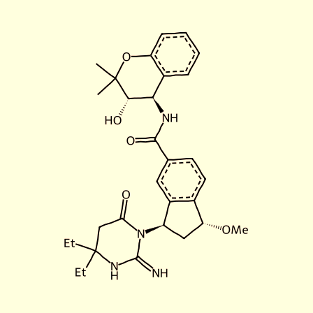 CCC1(CC)CC(=O)N([C@@H]2C[C@@H](OC)c3ccc(C(=O)N[C@@H]4c5ccccc5OC(C)(C)[C@H]4O)cc32)C(=N)N1